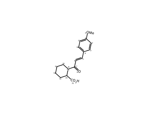 COc1ccc(C=CC(=O)N2CCCCC2C(=O)O)cc1